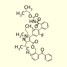 CCC[N+]1(C)N=C(C(C)C)C(C(=O)OCc2ccccc2C(=O)c2ccccc2)=C1c1ccc(-c2ccccc2S(=O)(=O)NC(=O)OCC(C)C)c(F)c1